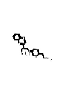 NCCC1CCC(N/C=C(\CN)c2cnc3ccccc3n2)CC1